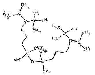 CO[Si](CCCN([SiH](C)C)[Si](C)(C)C)(OC)O[Si](CCCN([SiH](C)C)[Si](C)(C)C)(OC)OC